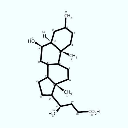 CC1CC[C@]2(C)C3CC[C@@]4(C)C(CCC4[C@H](C)CCC(=O)O)C3C[C@@H](O)[C@H]2C1